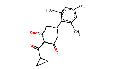 Cc1cc(C)c(C2CC(=O)C(C(=O)C3CC3)C(=O)C2)c(C)c1